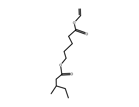 C=COC(=O)CCCCOC(=O)CC(C)CC